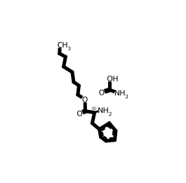 CCCCCCCCOC(=O)[C@@H](N)Cc1ccccc1.NC(=O)O